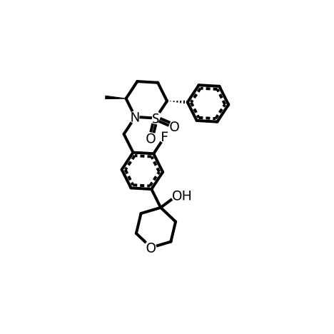 C[C@H]1CC[C@H](c2ccccc2)S(=O)(=O)N1Cc1ccc(C2(O)CCOCC2)cc1F